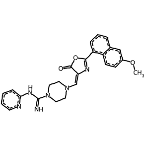 COc1ccc2c(C3=NC(=CN4CCN(C(=N)Nc5ccccn5)CC4)C(=O)O3)cccc2c1